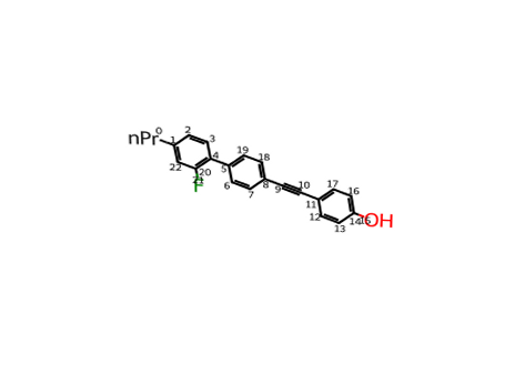 CCCc1ccc(-c2ccc(C#Cc3ccc(O)cc3)cc2)c(F)c1